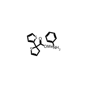 COC(=O)C1(c2cccs2)CC=CS1.Nc1ccccc1